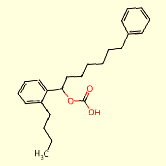 CCCCc1ccccc1C(CCCCCCc1ccccc1)OC(=O)O